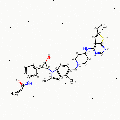 C=CC(=O)Nc1cccc(C2C(O)C2n2c(C#N)cc3c(C)c(CN4CCC(Nc5ncnc6sc(CC(F)(F)F)cc56)CC4)ccc32)c1